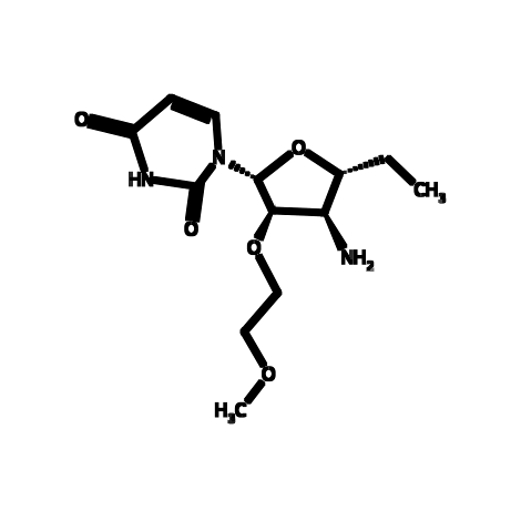 CC[C@H]1O[C@@H](n2ccc(=O)[nH]c2=O)[C@H](OCCOC)[C@@H]1N